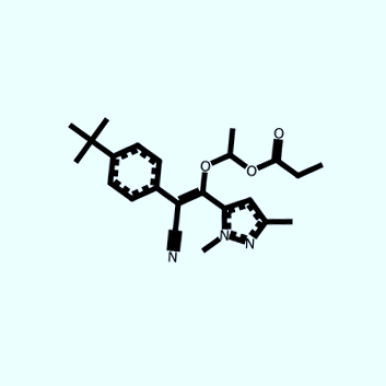 CCC(=O)OC(C)O/C(=C(/C#N)c1ccc(C(C)(C)C)cc1)c1cc(C)nn1C